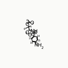 CC(=O)OC(C)(C)C(=O)NS(=O)(=O)c1ccc(N)cc1